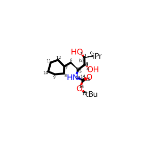 CC(C)[C@H](O)[C@H](O)[C@H](CC1CCCCC1)NC(=O)OC(C)(C)C